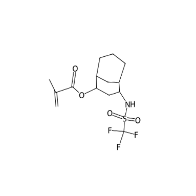 C=C(C)C(=O)OC1CC(NS(=O)(=O)C(F)(F)F)C2CCCC1C2